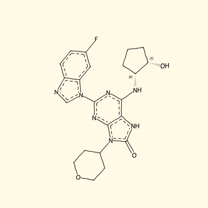 O=c1[nH]c2c(N[C@@H]3CCC[C@@H]3O)nc(-n3cnc4ccc(F)cc43)nc2n1C1CCOCC1